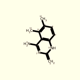 C=C1N=C(N)c2c(ccc(C)c2C)N1